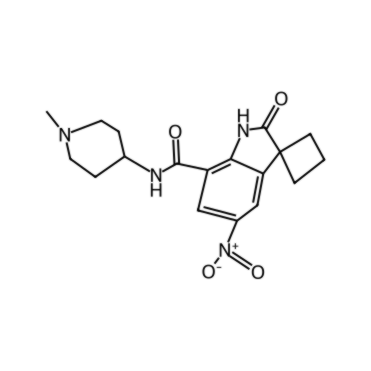 CN1CCC(NC(=O)c2cc([N+](=O)[O-])cc3c2NC(=O)C32CCC2)CC1